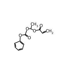 C=CC(=O)OC(C)OC(=O)Oc1ccccc1